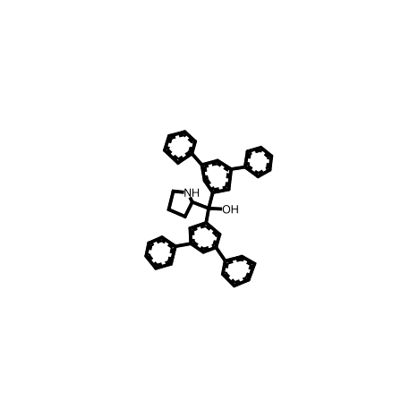 OC(c1cc(-c2ccccc2)cc(-c2ccccc2)c1)(c1cc(-c2ccccc2)cc(-c2ccccc2)c1)C1CCCN1